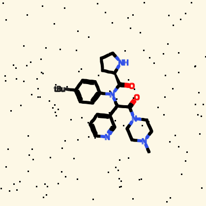 CN1CCN(C(=O)C(c2cccnc2)N(C(=O)[C@H]2CCCN2)c2ccc(C(C)(C)C)cc2)CC1